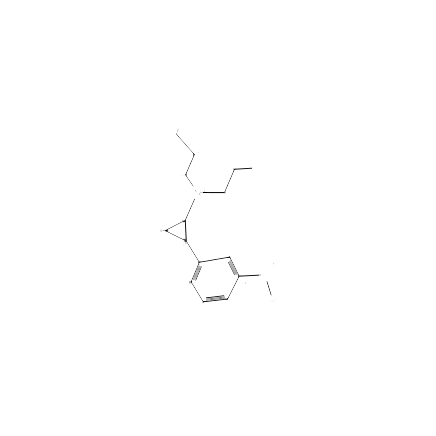 CCCN(CCC)C1CC1c1cccc(OC)c1